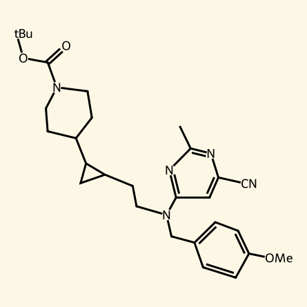 COc1ccc(CN(CCC2CC2C2CCN(C(=O)OC(C)(C)C)CC2)c2cc(C#N)nc(C)n2)cc1